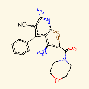 N#Cc1c(N)nc2sc(C(=O)N3CCOCC3)c(N)c2c1-c1ccccc1